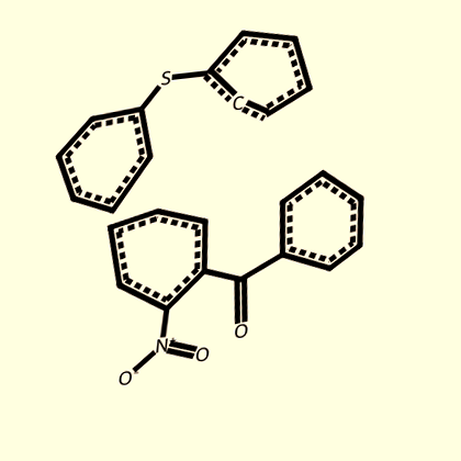 O=C(c1ccccc1)c1ccccc1[N+](=O)[O-].c1ccc(Sc2ccccc2)cc1